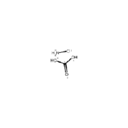 NCl.O=C(O)O